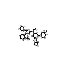 O=CN(c1cn(-c2ccccc2C(F)(F)F)c(C2CCCC2)n1)[C@@H](CCN1CCCC(F)(F)C1)CC(=O)NC1CCC1